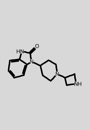 O=c1[nH]c2ccccc2n1C1CCN(C2CNC2)CC1